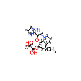 Cc1ccc2c3c1CCCN3CC(C1=NCCN1)O2.O=C(O)C(=O)O